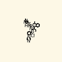 CCc1c(Oc2cccc(N3CCN(C)CC3)c2Cl)nc(NSc2cnn(C)c2)nc1-c1ccccc1C(C)C